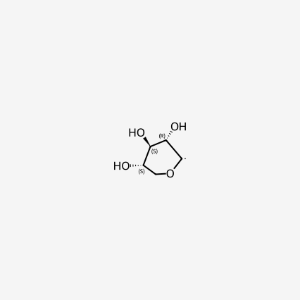 O[C@H]1[C@H](O)[CH]OC[C@@H]1O